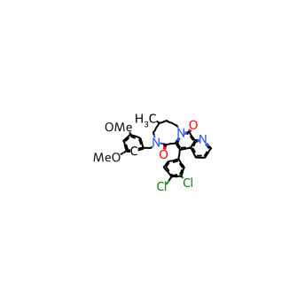 COc1cc(CN2CC(C)CCn3c(c(-c4ccc(Cl)c(Cl)c4)c4cccnc4c3=O)C2=O)cc(OC)c1